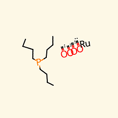 CCCCP(CCCC)CCCC.[C]=O.[C]=O.[C]=O.[C]=O.[Ru]